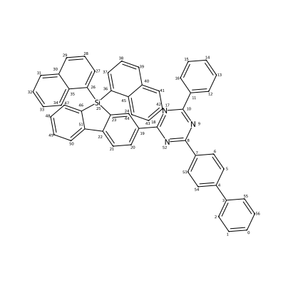 c1ccc(-c2ccc(-c3nc(-c4ccccc4)nc(-c4ccc5c(c4)[Si](c4cccc6ccccc46)(c4cccc6ccccc46)c4ccccc4-5)n3)cc2)cc1